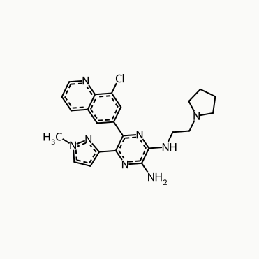 Cn1ccc(-c2nc(N)c(NCCN3CCCC3)nc2-c2cc(Cl)c3ncccc3c2)n1